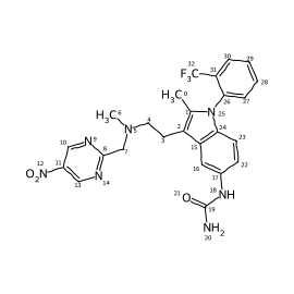 Cc1c(CCN(C)Cc2ncc([N+](=O)[O-])cn2)c2cc(NC(N)=O)ccc2n1-c1ccccc1C(F)(F)F